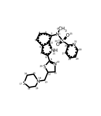 CN(c1cccc2cc(C3=NCC(CN4CCSCC4)S3)[nH]c12)S(=O)(=O)c1ccccn1